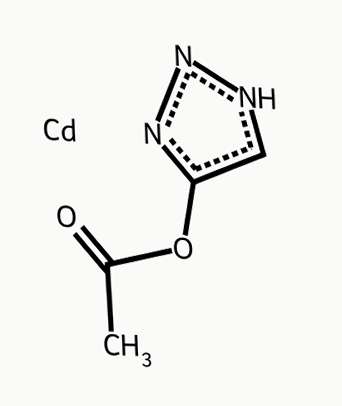 CC(=O)Oc1c[nH]nn1.[Cd]